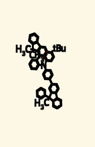 CC(C)(C)c1ccc(N(c2ccc(-c3ccc4c(c3)C(C)(c3ccccc3)c3ccccc3-4)cc2)c2ccccc2-c2cccc3c2C(C)(C)c2ccccc2-3)cc1